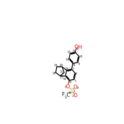 O=S(=O)(Oc1ccc(-c2ccc(O)cc2)c2c1C1CCC2C1)C(F)(F)F